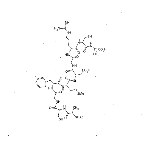 CSCCC(NC(=O)C(Cc1ccccc1)NC(=O)CNC(=O)C(CS)NC(=O)C(C)NC(C)=O)C(=O)NC(CC(=O)O)C(=O)NCC(=O)NC(CCCNC(=N)N)C(=O)NC(CS)C(=O)NC(C)C(=O)O